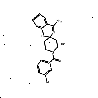 Cl.NC1=NC2(CCN(C(=O)c3cccc([N+](=O)[O-])c3)CC2)Nc2ccccc21